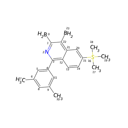 Bc1nc(-c2cc(C)cc(C)c2)c2ccc(S(C)(C)C)cc2c1B